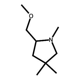 COCC1CC(C)(C)CN1C